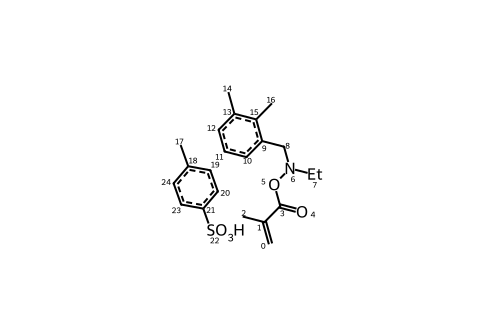 C=C(C)C(=O)ON(CC)Cc1cccc(C)c1C.Cc1ccc(S(=O)(=O)O)cc1